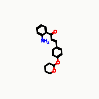 Nc1ccccc1C(=O)/C=C/c1ccc(OC2CCCCO2)cc1